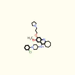 COc1cc2c(NC3CCN(c4ccccc4Cl)CC3)c3c(nc2cc1OCCCN1CCCC1)CCCCC3